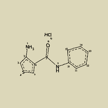 Cl.Nc1cscc1C(=O)Nc1ccccc1